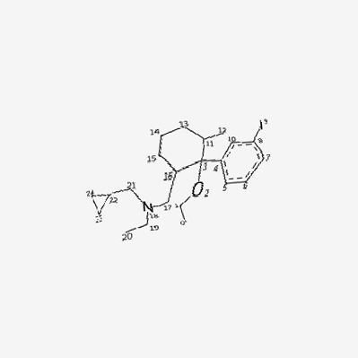 CCOC1(c2cccc(I)c2)C(C)CCCC1CN(CC)CC1CC1